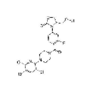 CCOCC1COC(=O)N1c1ccc(C(=O)N2CCN(c3nc(Cl)c(Cl)cc3Cl)CC2)c(F)c1